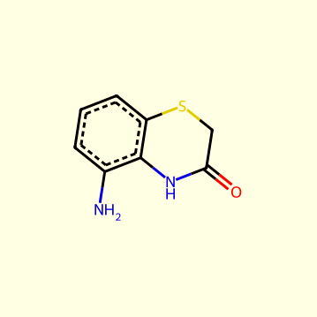 Nc1cccc2c1NC(=O)CS2